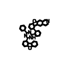 c1ccc(C2=NC(c3cccc4oc5ccccc5c34)NC(c3ccccc3-c3cccc4oc5cc6cnccc6cc5c34)=N2)cc1